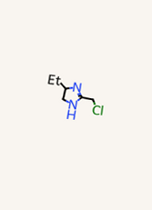 CCC1CNC(CCl)=N1